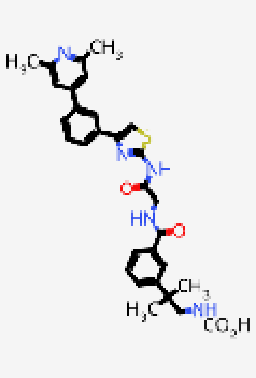 Cc1cc(-c2cccc(-c3csc(NC(=O)CNC(=O)c4cccc(C(C)(C)CNC(=O)O)c4)n3)c2)cc(C)n1